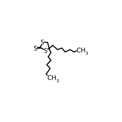 CCCCCCCC1(CCCCCCC)CSC(=S)S1